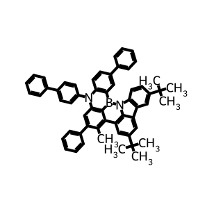 Cc1c(-c2ccccc2)cc2c3c1-c1cc(C(C)(C)C)cc4c5cc(C(C)(C)C)ccc5n(c14)B3c1cc(-c3ccccc3)ccc1N2c1ccc(-c2ccccc2)cc1